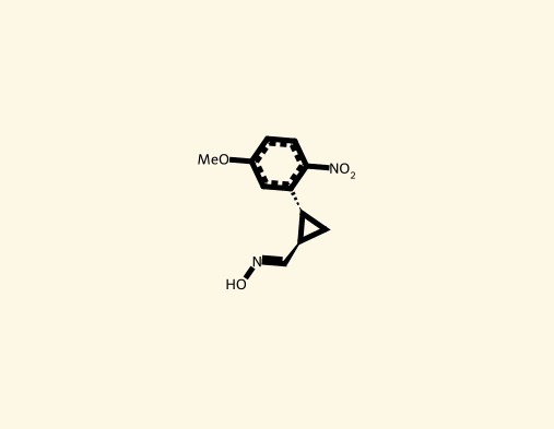 COc1ccc([N+](=O)[O-])c([C@@H]2C[C@H]2C=NO)c1